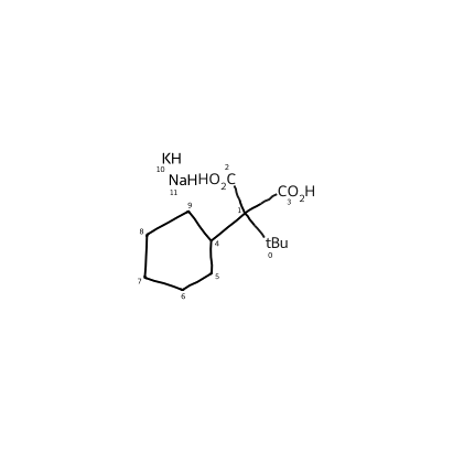 CC(C)(C)C(C(=O)O)(C(=O)O)C1CCCCC1.[KH].[NaH]